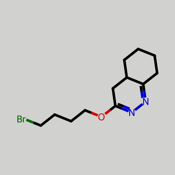 BrCCCCOC1=NN=C2CCCCC2C1